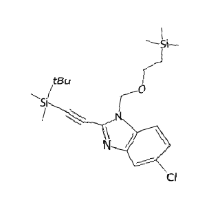 CC(C)(C)[Si](C)(C)C#Cc1nc2cc(Cl)ccc2n1COCC[Si](C)(C)C